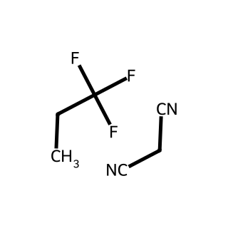 CCC(F)(F)F.N#CCC#N